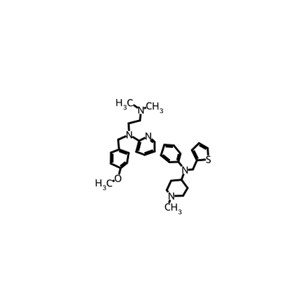 CN1CCC(N(Cc2cccs2)c2ccccc2)CC1.COc1ccc(CN(CCN(C)C)c2ccccn2)cc1